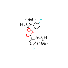 COc1c(F)ccc(C(=O)OC(=O)c2ccc(F)c(OC)c2S(=O)(=O)O)c1S(=O)(=O)O